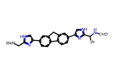 CNCc1nc(-c2ccc3c(c2)Cc2cc(-c4c[nH]c(C(NC=O)C(C)C)n4)ccc2-3)c[nH]1